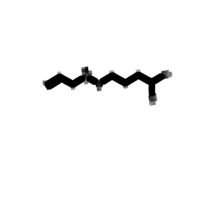 C=CC[SiH2]OCCCC(Cl)Cl